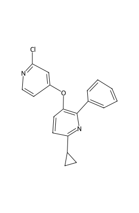 Clc1cc(Oc2ccc(C3CC3)nc2-c2ccccc2)ccn1